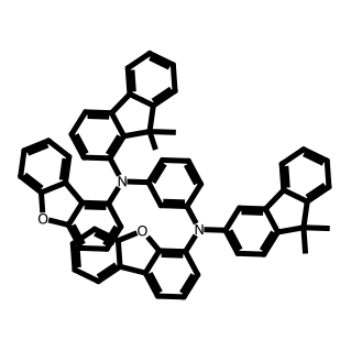 CC1(C)c2ccccc2-c2cc(N(c3cccc(N(c4cccc5c4C(C)(C)c4ccccc4-5)c4cccc5oc6ccccc6c45)c3)c3cccc4c3oc3ccccc34)ccc21